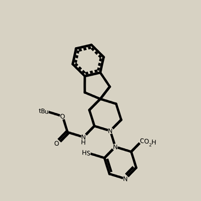 CC(C)(C)OC(=O)NC1CC2(CCN1N1C(S)=CN=CC1C(=O)O)Cc1ccccc1C2